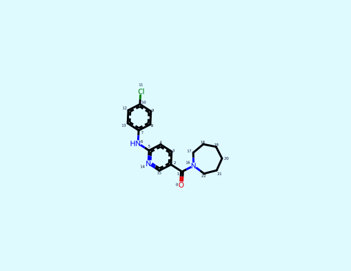 O=C(c1ccc(Nc2ccc(Cl)cc2)nc1)N1CCCCCC1